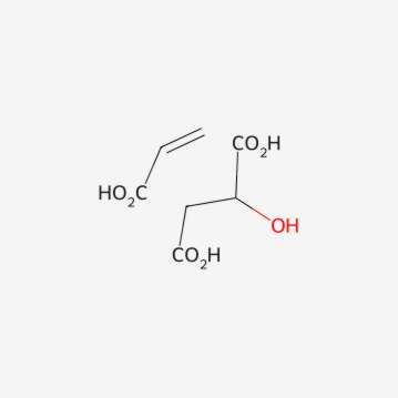 C=CC(=O)O.O=C(O)CC(O)C(=O)O